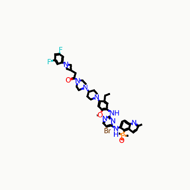 CCc1cc(Nc2ncc(Br)c(Nc3ccc4nc(C)ccc4c3P(C)(C)=O)n2)c(OC)cc1N1CCC(N2CCN(C(=O)CC3CN(c4cc(F)cc(F)c4)C3)CC2)CC1